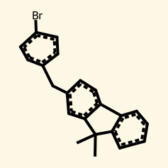 CC1(C)c2ccccc2-c2ccc(Cc3ccc(Br)cc3)cc21